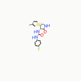 CC1=C[SH]([C@@H]2CNC(=O)[C@@H]2NC(=O)Nc2ccc(F)cc2)C=C1